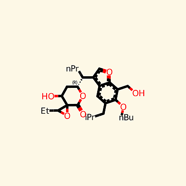 CCCCOc1c(CC(C)C)cc2c(C(CCC)[C@H]3CC(O)C4(OC4CC)C(=O)O3)coc2c1CO